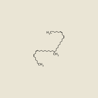 CCCCC/C=C\C/C=C\CCCCCCCCC(C)CCCCCCCC/C=C\C/C=C\CCCCC